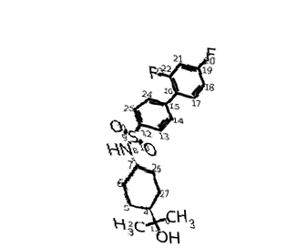 CC(C)(O)[C@H]1CC[C@H](NS(=O)(=O)c2ccc(-c3ccc(F)cc3F)cc2)CC1